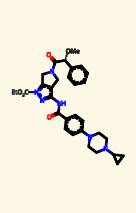 CCOC(=O)n1nc(NC(=O)c2ccc(N3CCN(C4CC4)CC3)cc2)c2c1CN(C(=O)[C@H](OC)c1ccccc1)C2